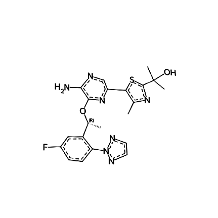 Cc1nc(C(C)(C)O)sc1-c1cnc(N)c(O[C@H](C)c2cc(F)ccc2-n2nccn2)n1